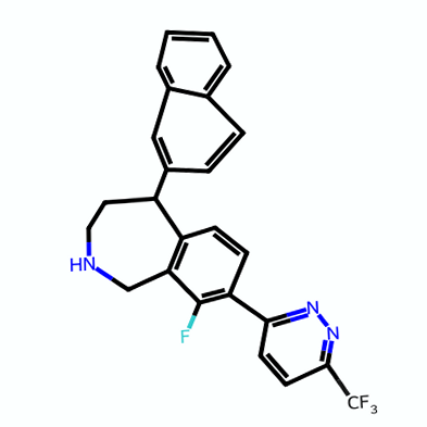 Fc1c(-c2ccc(C(F)(F)F)nn2)ccc2c1CNCCC2c1ccc2ccccc2c1